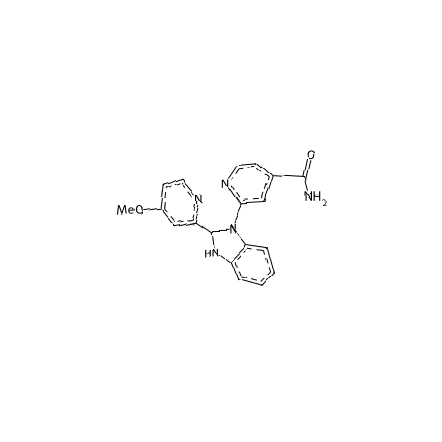 COc1ccnc(C2Nc3ccccc3N2c2cc(C(N)=O)ccn2)c1